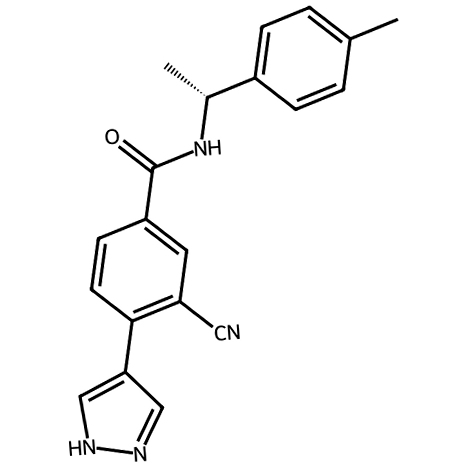 Cc1ccc([C@@H](C)NC(=O)c2ccc(-c3cn[nH]c3)c(C#N)c2)cc1